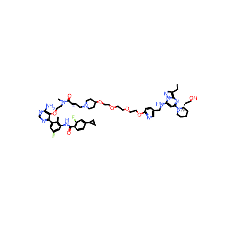 CCc1cnn2c(NCc3ccc(OCCOCCOCCOC4CCN(C/C=C/C(=O)N(C)CCOc5c(N)ncnc5-c5cc(F)cc(NC(=O)c6ccc(C7CC7)cc6F)c5C)CC4)nc3)cc(N3CCCC[C@H]3CCO)nc12